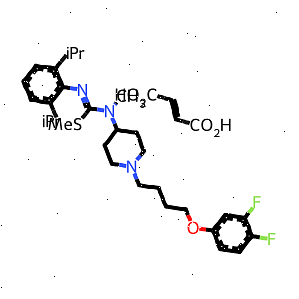 CSC(=Nc1c(C(C)C)cccc1C(C)C)N(C)C1CCN(CCCCOc2ccc(F)c(F)c2)CC1.O=C(O)C=CC(=O)O